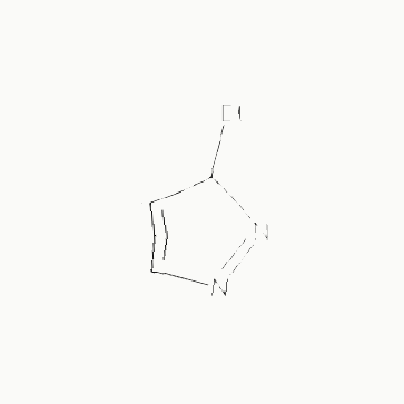 CCC1[C]=CN=N1